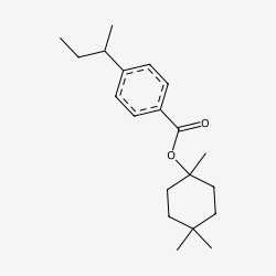 CCC(C)c1ccc(C(=O)OC2(C)CCC(C)(C)CC2)cc1